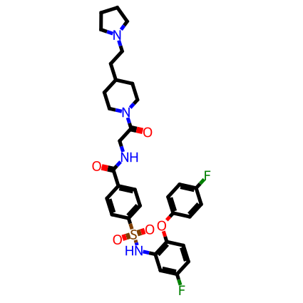 O=C(NCC(=O)N1CCC(CCN2CCCC2)CC1)c1ccc(S(=O)(=O)Nc2cc(F)ccc2Oc2ccc(F)cc2)cc1